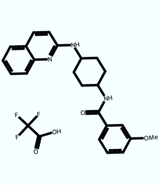 COc1cccc(C(=O)NC2CCC(Nc3ccc4ccccc4n3)CC2)c1.O=C(O)C(F)(F)F